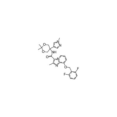 Cc1nc2c(OCc3c(F)cccc3F)cccn2c1C(=O)NC1(c2cnn(C)c2)COC(C)(C)OC1